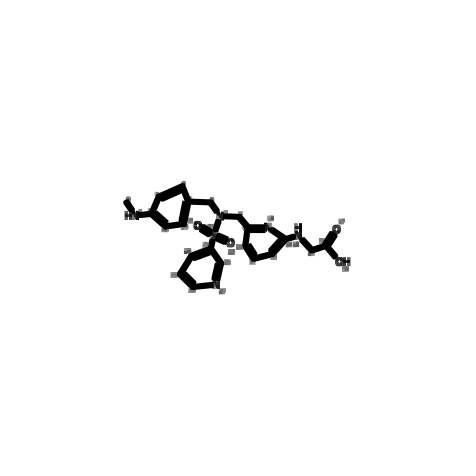 CNc1ccc(CN(Cc2cccc(NCC(=O)O)n2)S(=O)(=O)c2cccnc2)cc1